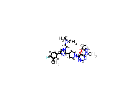 CNc1ncnc(N2CCC(c3nc(-c4ccc(F)c(C)c4)cn3CCN(C)C)CC2)c1OC(C)C